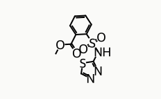 COC(=O)c1ccccc1S(=O)(=O)Nc1nncs1